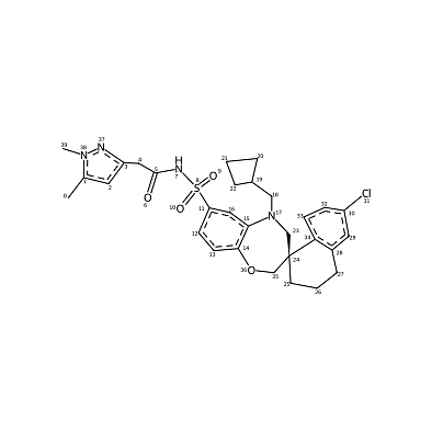 Cc1cc(CC(=O)NS(=O)(=O)c2ccc3c(c2)N(CC2CCC2)C[C@@]2(CCCc4cc(Cl)ccc42)CO3)nn1C